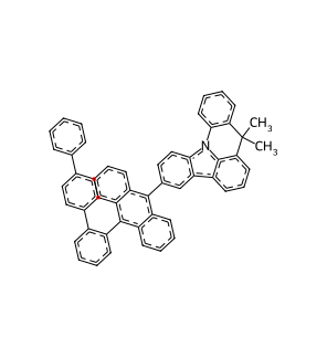 CC1(C)c2ccccc2-n2c3ccc(-c4c5ccccc5c(-c5ccccc5-c5ccc(-c6ccccc6)cc5)c5ccccc45)cc3c3cccc1c32